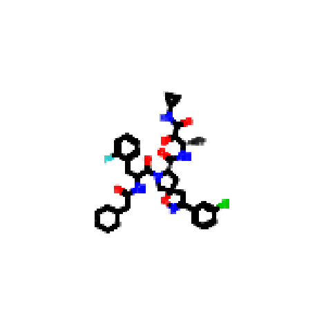 CCC[C@H](NC(=O)[C@@H]1C[C@]2(CC(c3cccc(Cl)c3)=NO2)CN1C(=O)[C@H](Cc1ccccc1F)NC(=O)CC1CCCCC1)C(=O)C(=O)NC1CC1